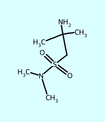 CN(C)S(=O)(=O)CC(C)(C)N